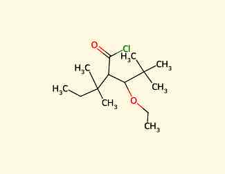 CCOC(C(C(=O)Cl)C(C)(C)CC)C(C)(C)C